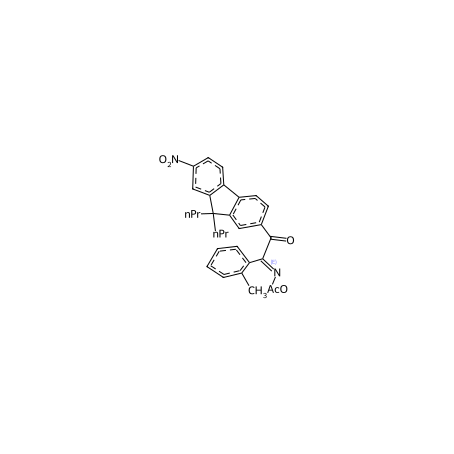 CCCC1(CCC)c2cc(C(=O)/C(=N/OC(C)=O)c3ccccc3C)ccc2-c2ccc([N+](=O)[O-])cc21